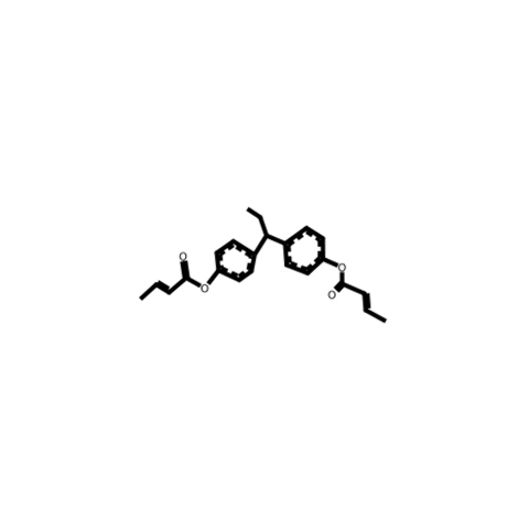 CC=CC(=O)Oc1ccc(C(CC)c2ccc(OC(=O)C=CC)cc2)cc1